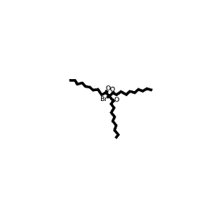 CCCCCCCCCC(=O)C(Br)(C(=O)CCCCCCCCC)C(=O)CCCCCCCCC